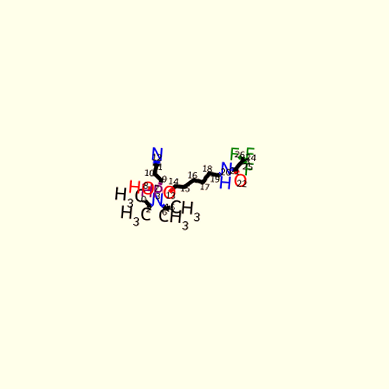 CC(C)N(C(C)C)[PH](O)(CCC#N)OCCCCCCNC(=O)C(F)(F)F